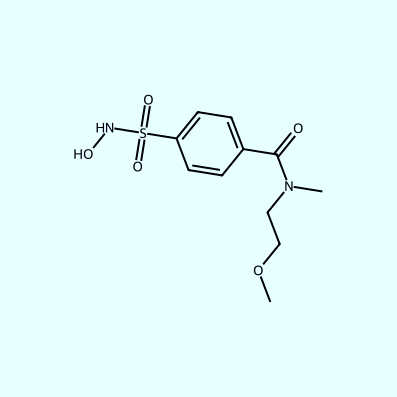 COCCN(C)C(=O)c1ccc(S(=O)(=O)NO)cc1